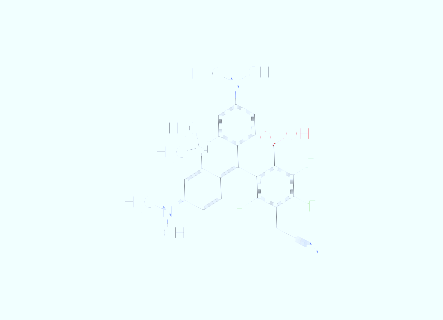 CN(C)c1ccc2c(c1)[Si](C)(C)C1=CC(=[N+](C)C)C=CC1=C2c1c(F)c(CC#N)c(F)c(F)c1C(=O)O